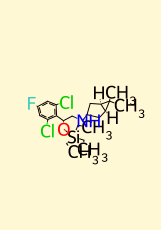 CC[Si](CC)(CC)OC(CN[C@H]1C[C@@H]2[C@H](C1)C2(C)C)c1c(Cl)cc(F)cc1Cl